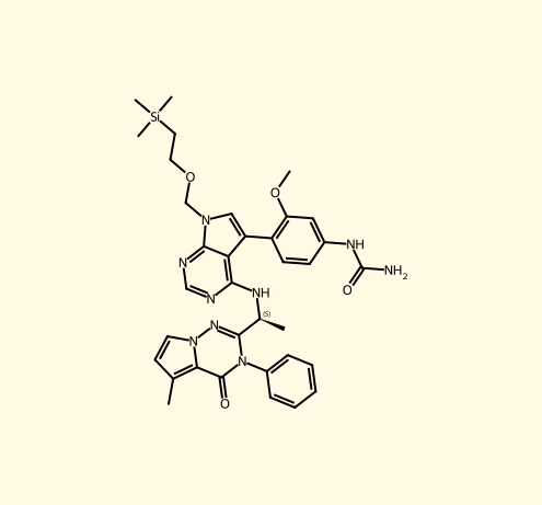 COc1cc(NC(N)=O)ccc1-c1cn(COCC[Si](C)(C)C)c2ncnc(N[C@@H](C)c3nn4ccc(C)c4c(=O)n3-c3ccccc3)c12